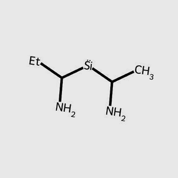 CCC(N)[Si]C(C)N